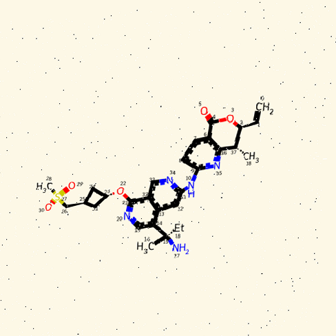 C=C[C@@H]1OC(=O)c2ccc(Nc3cc4c([C@](C)(N)CC)cnc(O[C@H]5C[C@H](CS(C)(=O)=O)C5)c4cn3)nc2[C@H]1C